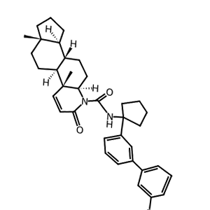 C[C@@]12CCC[C@H]1[C@@H]1CC[C@H]3N(C(=O)NC4(c5cccc(-c6cccc(F)c6)c5)CCCC4)C(=O)C=C[C@]3(C)[C@H]1CC2